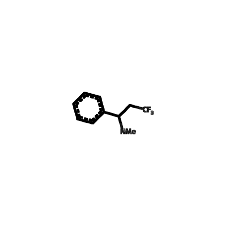 CNC(CC(F)(F)F)c1ccccc1